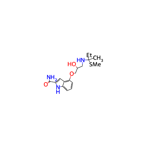 CCC(C)(NCC(O)COc1cccc2[nH]c(C(N)=O)cc12)SC